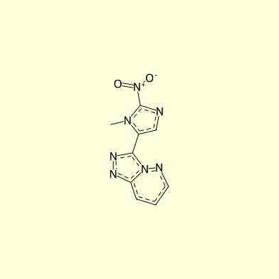 Cn1c(-c2nnc3cccnn23)cnc1[N+](=O)[O-]